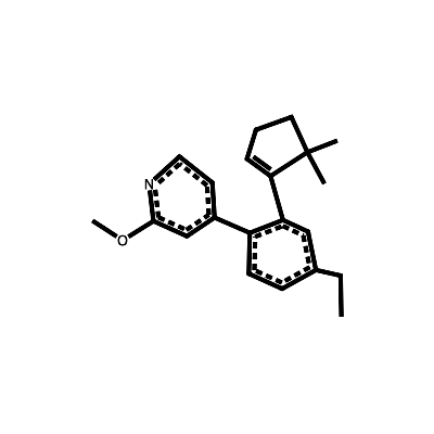 CCc1ccc(-c2ccnc(OC)c2)c(C2=CCCC2(C)C)c1